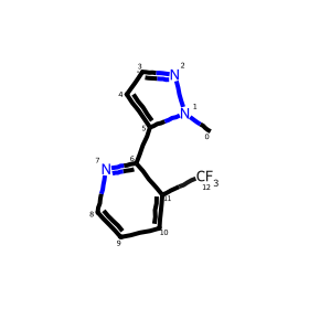 Cn1n[c]cc1-c1ncccc1C(F)(F)F